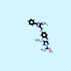 C=C(OCC)N1C[C@@H](Cc2ccc(OCc3nc(-c4ccccc4)oc3C)cc2)[C@@H](C(=O)O)C1